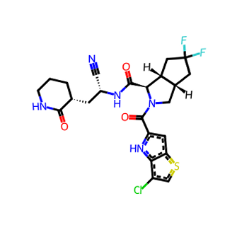 N#C[C@@H](C[C@H]1CCCNC1=O)NC(=O)[C@H]1[C@@H]2CC(F)(F)C[C@@H]2CN1C(=O)c1cc2scc(Cl)c2[nH]1